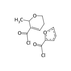 CC1OCCC=C1C(=O)Cl.O=C(Cl)c1ccco1